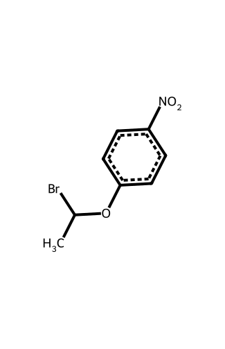 CC(Br)Oc1ccc([N+](=O)[O-])cc1